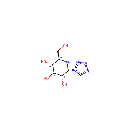 OC[C@H]1NC[C@H](O)[C@@H](O)[C@@H]1O.c1nnn[nH]1